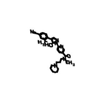 Cc1cc(C#N)ccc1-c1cnn(-c2ccc(C(=O)N(C)CCCN3CCCCC3)cn2)c1O